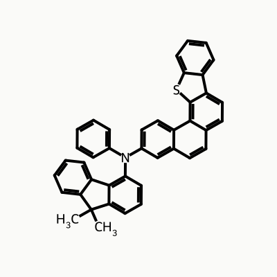 CC1(C)c2ccccc2-c2c(N(c3ccccc3)c3ccc4c(ccc5ccc6c7ccccc7sc6c54)c3)cccc21